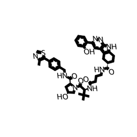 Cc1ncsc1-c1ccc(CNC(=O)[C@@H]2C[C@@H](O)CN2C(=O)[C@@H](NC(=O)CCCNC(=O)[C@H]2CCc3[nH]c4nnc(-c5ccccc5O)cc4c3C2)C(C)(C)C)cc1